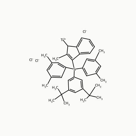 CC1=C([Si](c2cc(C)cc(C)c2)(c2cc(C)cc(C)c2)c2cc(C(C)(C)C)cc(C(C)(C)C)c2)c2ccccc2[CH]1[Ti+3].[Cl-].[Cl-].[Cl-]